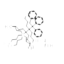 CCCCC(CCCC)(C(Cc1ccccc1)(c1ccccc1)c1ccccc1)C(CCCC)(CCCC)P(CCCC)(CCCC)(CCCC)CCCC.P.P.P.P